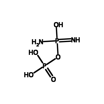 N=P(N)(O)OP(=O)(O)O